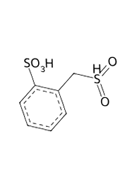 O=[SH](=O)Cc1ccccc1S(=O)(=O)O